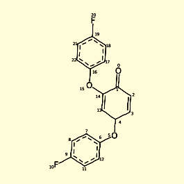 O=C1C=CC(Oc2ccc(F)cc2)C=C1Oc1ccc(F)cc1